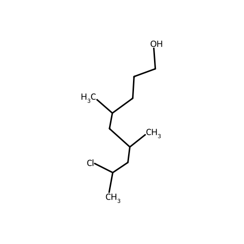 CC(Cl)CC(C)CC(C)CCCO